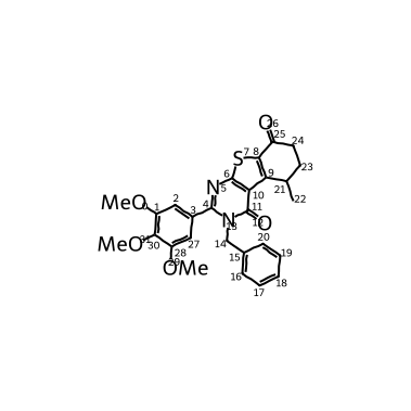 COc1cc(-c2nc3sc4c(c3c(=O)n2Cc2ccccc2)C(C)CCC4=O)cc(OC)c1OC